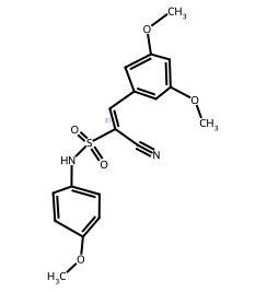 COc1ccc(NS(=O)(=O)/C(C#N)=C/c2cc(OC)cc(OC)c2)cc1